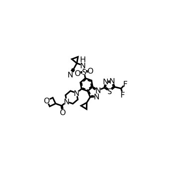 N#CC1(NS(=O)(=O)c2cc(N3CCN(C(=O)C4COC4)CC3)c3c(C4CC4)nn(-c4nnc(C(F)F)s4)c3c2)CC1